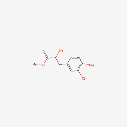 CC(C)OC(=O)C(O)Cc1ccc(O)c(O)c1